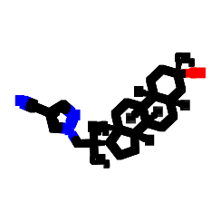 CC(C)(Cn1cc(C#N)cn1)[C@H]1CC[C@H]2[C@@H]3CC[C@@H]4C[C@](C)(O)CC[C@@H]4[C@H]3CC[C@]12C